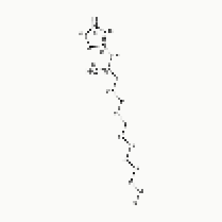 CCCCCCCCCCCCC(O)C[N+]1=CNCC1